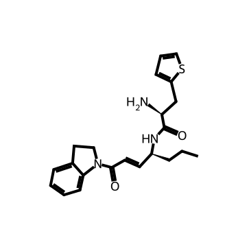 CCC[C@@H](C=CC(=O)N1CCc2ccccc21)NC(=O)[C@@H](N)Cc1cccs1